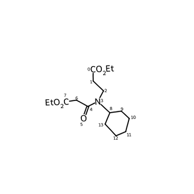 CCOC(=O)CCN(C(=O)CC(=O)OCC)C1CCCCC1